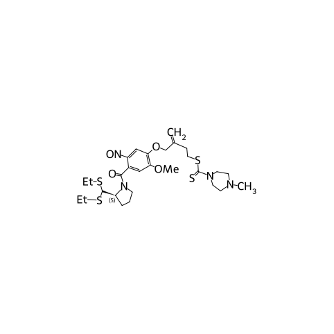 C=C(CCSC(=S)N1CCN(C)CC1)COc1cc(N=O)c(C(=O)N2CCC[C@H]2C(SCC)SCC)cc1OC